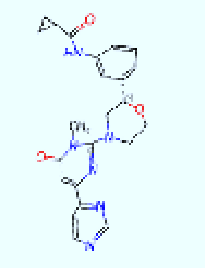 Cn1c(N2CCO[C@@H](c3cccc(NC(=O)C4CC4)c3)C2)nc(-c2ccncn2)cc1=O